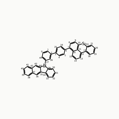 c1cc(-c2ccc(-c3ccc4c5c(cccc35)-c3ccccc3S4)cc2)cc(-n2c3ccccc3c3cc4ccccc4cc32)c1